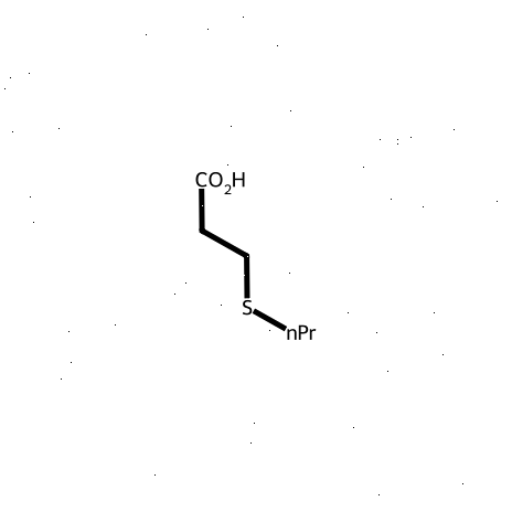 CCCSCCC(=O)O